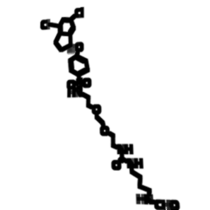 O=CNCCCCNC(=O)NCCOCCOCCNS(=O)(=O)c1ccc(O[C@@H]2CCc3c(Cl)cc(Cl)cc32)cc1